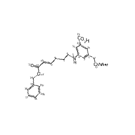 COCc1cc(NCCCC=CC(=O)OCc2ccccc2)cc(C(=O)O)c1